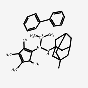 CC1=C(C)C(C)[C]([Hf]([NH]C23CC4CC(CC(F)(C4)C2)C3)[GeH]([CH3])[CH3])=C1C.c1ccc(-c2ccccc2)cc1